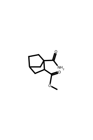 COC(=O)C1CC2CCC1(C(N)=O)C2